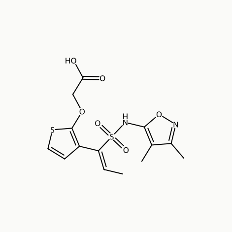 CC=C(c1ccsc1OCC(=O)O)S(=O)(=O)Nc1onc(C)c1C